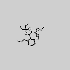 CCCc1cccc(Cl)c1[C@H]1OC(CC)(CC)O[C@@H]1C(=O)OCC